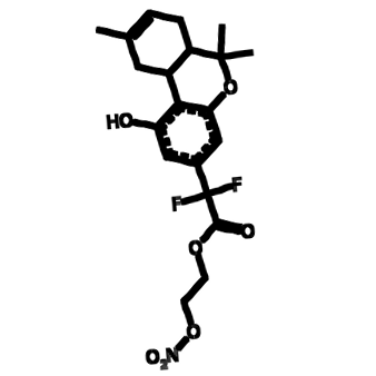 CC1=CCC2C(C1)c1c(O)cc(C(F)(F)C(=O)OCCO[N+](=O)[O-])cc1OC2(C)C